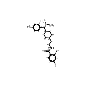 CN(C)C(c1ccc(Cl)cc1)C1CCC(CCNC(=O)c2ccc(F)cc2F)CC1